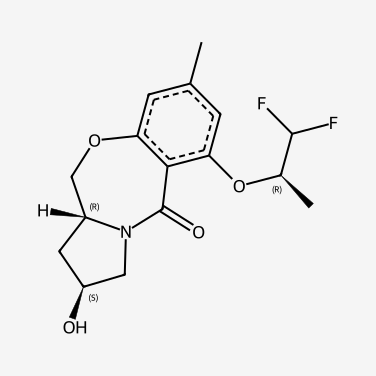 Cc1cc2c(c(O[C@H](C)C(F)F)c1)C(=O)N1C[C@@H](O)C[C@@H]1CO2